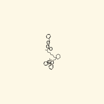 CC(CCCCCC1(CCO[Si](c2ccccc2)(c2ccccc2)C(C)(C)C)CCCCC1)C(=O)OCOCc1ccccc1